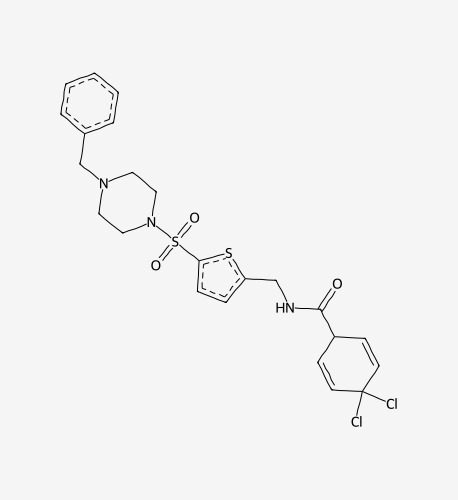 O=C(NCc1ccc(S(=O)(=O)N2CCN(Cc3ccccc3)CC2)s1)C1C=CC(Cl)(Cl)C=C1